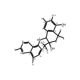 Cc1ncc2c(NC3c4cc(C)c(F)c(O)c4C(C)(C)CC3(O)C(F)(F)F)ccc(F)c2n1